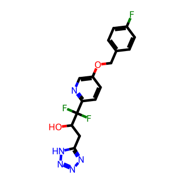 OC(Cc1nnn[nH]1)C(F)(F)c1ccc(OCc2ccc(F)cc2)cn1